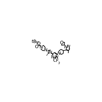 Cc1cnn(C2COC2)c1C1CCN(c2cc(N3C[C@@H](N4CCN(C(=O)OC(C)(C)C)CC4)[C@@H]3C)nc(C(F)(F)F)n2)CC1